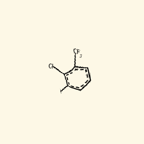 FC(F)(F)c1cccc(I)c1Cl